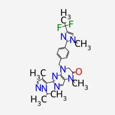 Cc1cnn(C(C)C)c1-c1ncc2c(n1)N(Cc1ccc(-c3nc(C(C)(F)F)cn3C)cc1)CC(=O)N2C